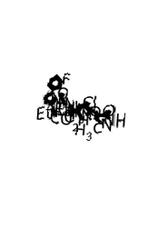 CCC(CC)(C(=O)O)[C@H]1CC[C@@H](c2cccc(F)c2)N1C(=O)[C@@H](C)NC(=O)c1cnc(Oc2cc(C)n[nH]c2=O)c(Cl)c1